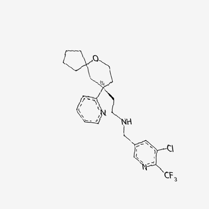 FC(F)(F)c1ncc(CNCC[C@]2(c3ccccn3)CCOC3(CCCC3)C2)cc1Cl